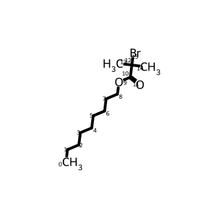 CCCCCCCCCOC(=O)C(C)(C)Br